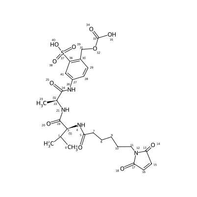 CC(C)[C@H](NC(=O)CCCCCN1C(=O)C=CC1=O)C(=O)N[C@@H](C)C(=O)Nc1ccc(COC(=O)O)c(S(=O)(=O)O)c1